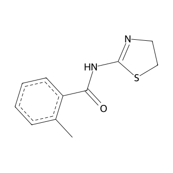 Cc1ccccc1C(=O)NC1=NCCS1